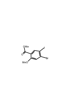 COC(=O)c1cc(I)c(Br)cc1OC